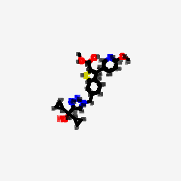 COC(=O)c1sc2cc(Cn3cc(C(O)(C4CC4)C4CC4)nn3)ccc2c1-c1ccc(OC)nc1